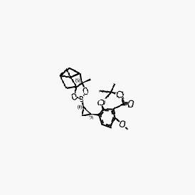 COc1ccc([C@H]2C[C@H]2B2OC34CC5CC(C53C)[C@]4(C)O2)c2c1C(=O)OC(C)(C)O2